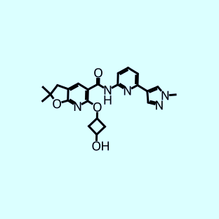 Cn1cc(-c2cccc(NC(=O)c3cc4c(nc3OC3CC(O)C3)OC(C)(C)C4)n2)cn1